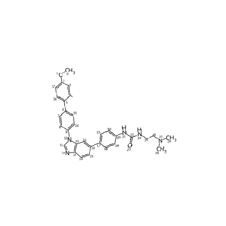 COc1ccc(-c2ccc(-n3cnc4ccc(-c5ccc(NC(=O)NCCN(C)C)cc5)cc43)cc2)cc1